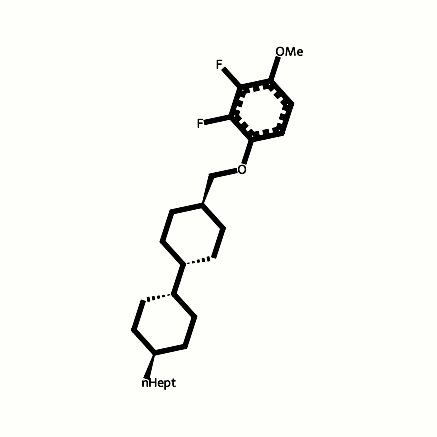 CCCCCCC[C@H]1CC[C@H]([C@H]2CC[C@H](COc3ccc(OC)c(F)c3F)CC2)CC1